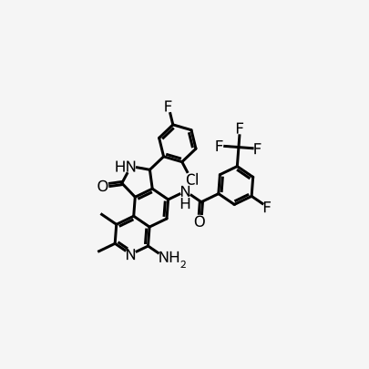 Cc1nc(N)c2cc(NC(=O)c3cc(F)cc(C(F)(F)F)c3)c3c(c2c1C)C(=O)NC3c1cc(F)ccc1Cl